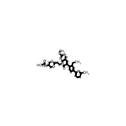 CCc1cc(-c2cccc(C)n2)ccc1-c1cc2cnc(SC)nc2n(CCC2OCC(NC(=O)O)CO2)c1=O